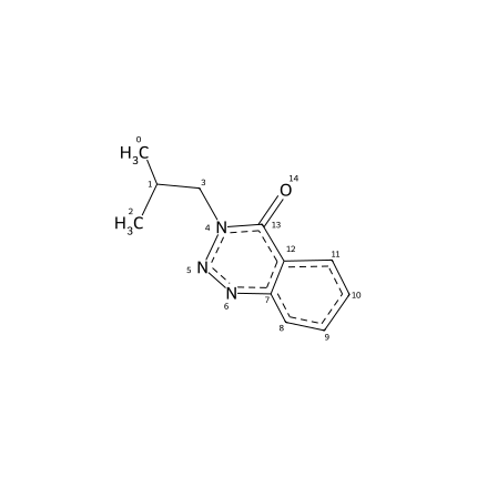 CC(C)Cn1nnc2ccccc2c1=O